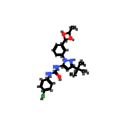 CC1OC(c2cccc(-n3nc(C(C)(C)C)cc3NC(=O)Nc3ccc(Cl)cc3)c2)O1